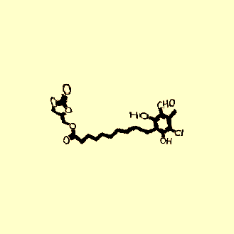 Cc1c(Cl)c(O)c(CCCCCCCCCC(=O)OCC2COC(=O)O2)c(O)c1C=O